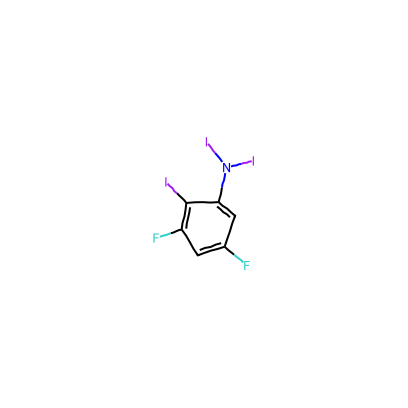 Fc1cc(F)c(I)c(N(I)I)c1